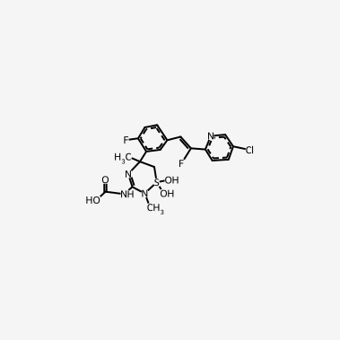 CN1C(NC(=O)O)=NC(C)(c2cc(C=C(F)c3ccc(Cl)cn3)ccc2F)CS1(O)O